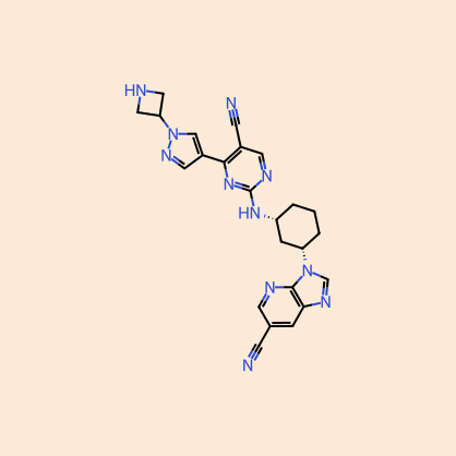 N#Cc1cnc2c(c1)ncn2[C@H]1CCC[C@@H](Nc2ncc(C#N)c(-c3cnn(C4CNC4)c3)n2)C1